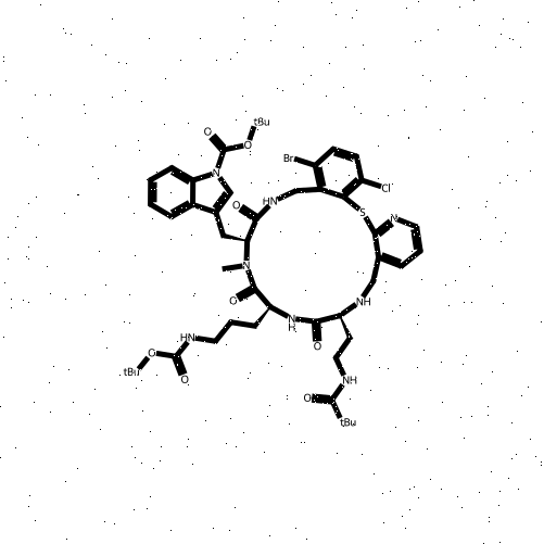 CN1C(=O)[C@H](CCCNC(=O)OC(C)(C)C)NC(=O)[C@H](CCNC(=O)C(C)(C)C)NCc2cccnc2Sc2c(Cl)ccc(Br)c2CNC(=O)[C@@H]1Cc1cn(C(=O)OC(C)(C)C)c2ccccc12